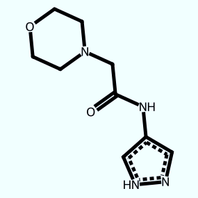 O=C(CN1CCOCC1)Nc1cn[nH]c1